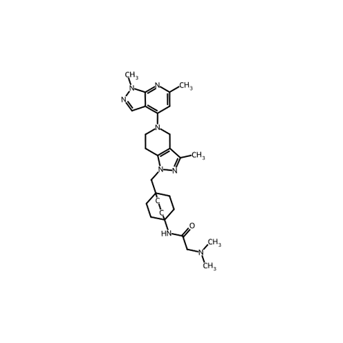 Cc1cc(N2CCc3c(c(C)nn3CC34CCC(NC(=O)CN(C)C)(CC3)CC4)C2)c2cnn(C)c2n1